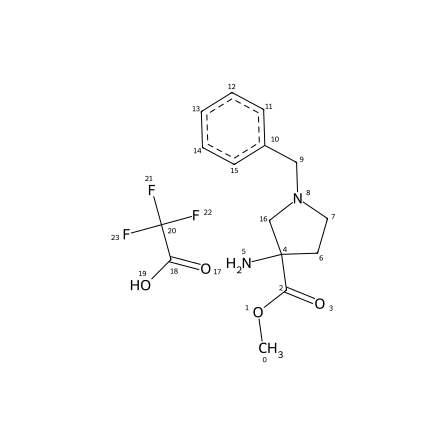 COC(=O)C1(N)CCN(Cc2ccccc2)C1.O=C(O)C(F)(F)F